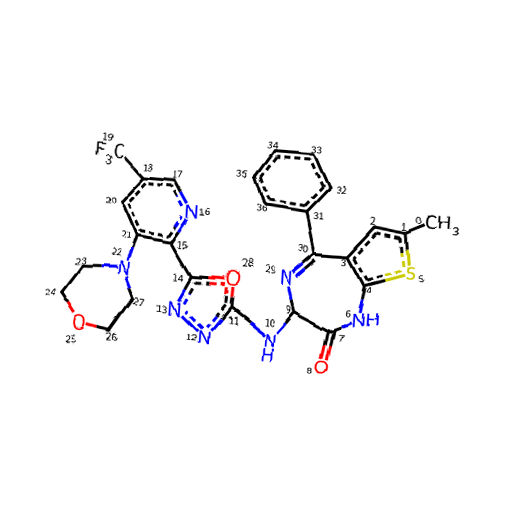 Cc1cc2c(s1)NC(=O)C(Nc1nnc(-c3ncc(C(F)(F)F)cc3N3CCOCC3)o1)N=C2c1ccccc1